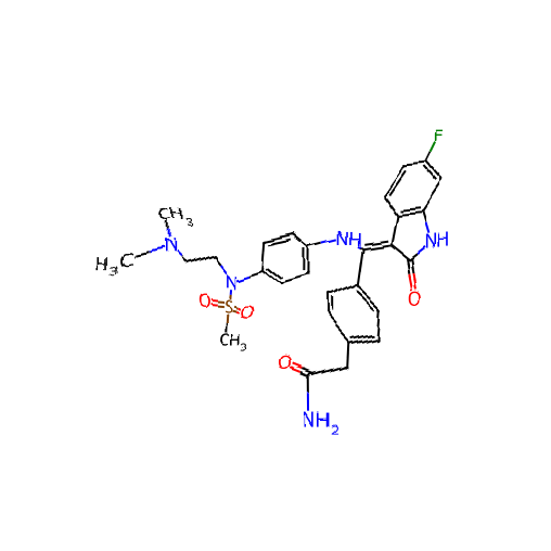 CN(C)CCN(c1ccc(NC(=C2C(=O)Nc3cc(F)ccc32)c2ccc(CC(N)=O)cc2)cc1)S(C)(=O)=O